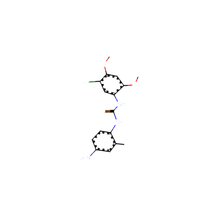 COc1cc(OC)c(NC(=S)Nc2ccc(N)cc2C)cc1Cl